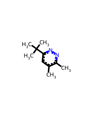 Cc1cc(C(C)(C)C)nnc1C